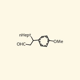 CCCCCCCC(CC=O)c1ccc(OC)cc1